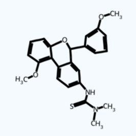 COc1cccc(C2Oc3cccc(OC)c3-c3ccc(NC(=S)N(C)C)cc32)c1